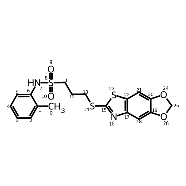 Cc1ccccc1NS(=O)(=O)CCCSc1nc2cc3c(cc2s1)OCO3